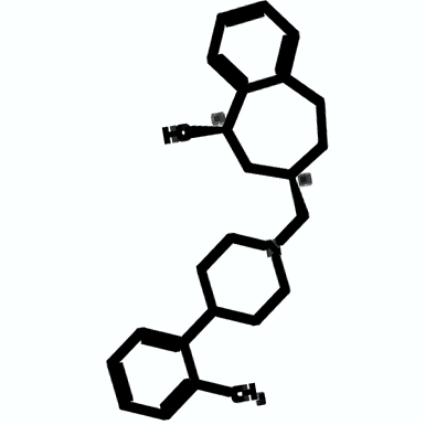 Cc1ccccc1C1CCN(C[C@@H]2CCc3ccccc3[C@H](O)C2)CC1